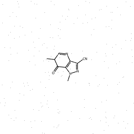 CC1C=Nc2c(C#N)nn(C)c2C1=O